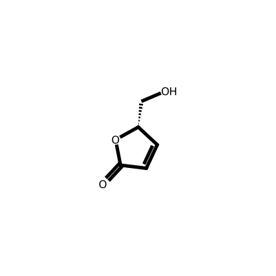 O=C1C=C[C@@H](CO)O1